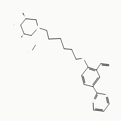 O=Cc1cc(-c2ncccn2)ccc1NCCCCCCN1C[C@H](O)[C@@H](O)[C@H](O)[C@H]1CO